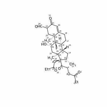 CCC(=O)OCC(=O)[C@@]1(OC(=O)CC)[C@@H](C)C[C@H]2[C@@H]3CCC4=CC(=O)C(C=O)C[C@]4(C)[C@@]3(F)[C@@H](O)C[C@@]21C